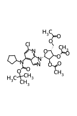 CC(=O)OC[C@H]1O[C@@H](n2ncc3c(N(C(=O)OC(C)(C)C)C4CCCC4)cc(Cl)nc32)[C@H](OC(C)=O)[C@@H]1OC(C)=O